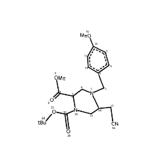 COC(=O)C1CN(Cc2ccc(OC)cc2)C(CC#N)CN1C(=O)OC(C)(C)C